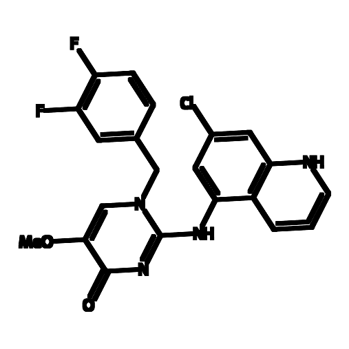 COc1cn(Cc2ccc(F)c(F)c2)c(Nc2cc(Cl)cc3c2C=C=CN3)nc1=O